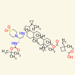 CC(C)(C)OC(=O)NC[C@@H](CN[C@]12CC[C@@H](C3(C)CC3)[C@@H]1[C@H]1CC[C@@H]3[C@@]4(C)CC[C@H](OC(=O)[C@H]5C[C@@H](C(=O)O)C5(C)C)C(C)(C)[C@@H]4CC[C@@]3(C)[C@]1(C)CC2)N1CCS(=O)(=O)CC1